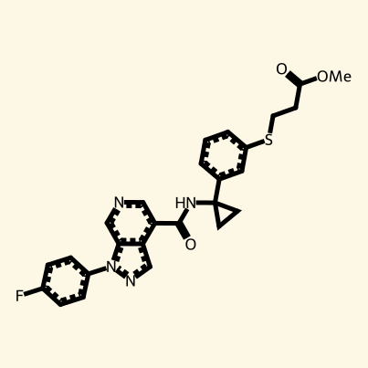 COC(=O)CCSc1cccc(C2(NC(=O)c3cncc4c3cnn4-c3ccc(F)cc3)CC2)c1